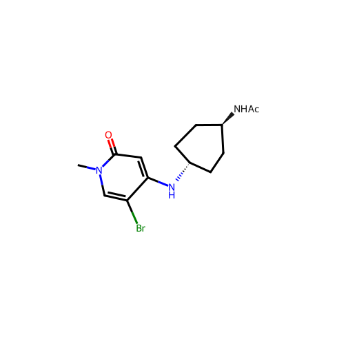 CC(=O)N[C@H]1CC[C@H](Nc2cc(=O)n(C)cc2Br)CC1